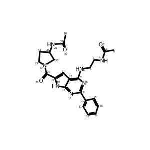 CC(=O)NCCNc1nc(-c2ccccc2)nc2[nH]c(C(=O)N3CCC(NC(C)=O)C3)cc12